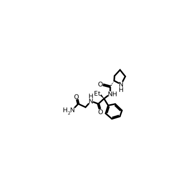 CC[C@](NC(=O)[C@@H]1CCCN1)(C(=O)NCC(N)=O)c1ccccc1